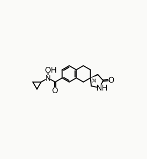 O=C1C[C@@]2(CCc3ccc(C(=O)N(O)C4CC4)cc3C2)CN1